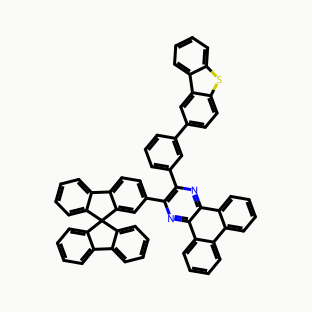 c1cc(-c2ccc3sc4ccccc4c3c2)cc(-c2nc3c4ccccc4c4ccccc4c3nc2-c2ccc3c(c2)C2(c4ccccc4-c4ccccc42)c2ccccc2-3)c1